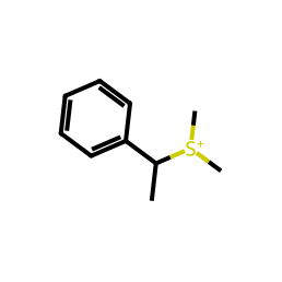 CC(c1ccccc1)[S+](C)C